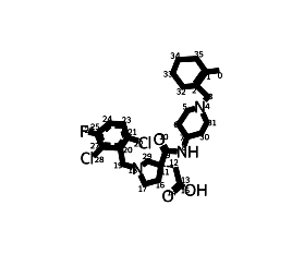 CC1=C(CN2CCC(NC(=O)[C@@]3(CC(=O)O)CCN(Cc4c(Cl)ccc(F)c4Cl)C3)CC2)CCCC1